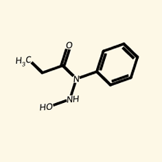 CCC(=O)N(NO)c1ccccc1